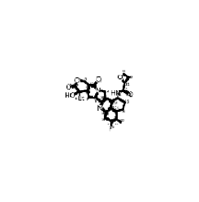 CC[C@@]1(O)C(=O)OCc2c1cc1n(c2=O)Cc2c-1nc1cc(F)c(C)c3c1c2[C@@H](NC(=O)C1CCO1)CC3